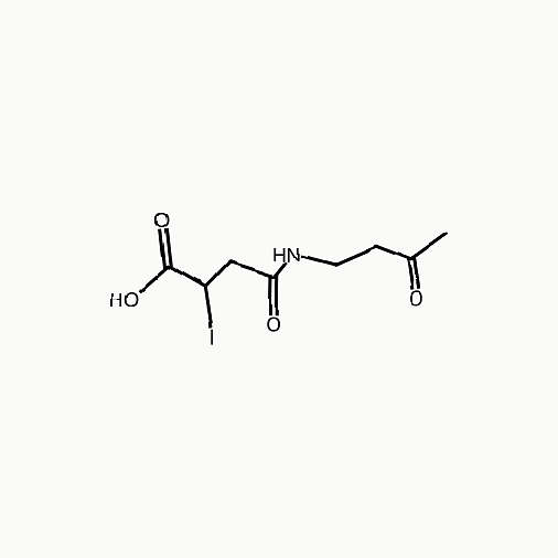 CC(=O)CCNC(=O)CC(I)C(=O)O